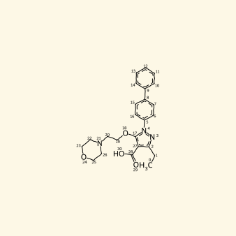 CCc1nn(-c2ccc(-c3ccccc3)cc2)c(OCCN2CCOCC2)c1C(=O)O